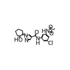 CS(=O)(=O)Nc1cc(Cl)cc(NC(=O)c2cnn([C@@H]3CCCC[C@@H]3O)c2)c1